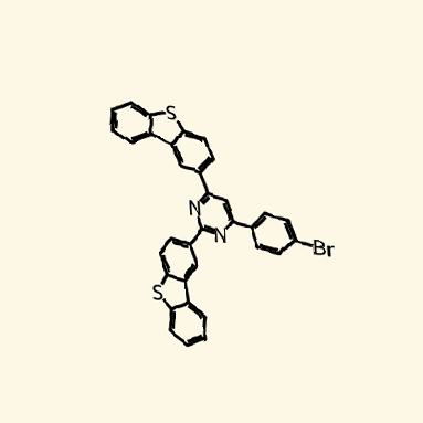 Brc1ccc(-c2cc(-c3ccc4sc5ccccc5c4c3)nc(-c3ccc4sc5ccccc5c4c3)n2)cc1